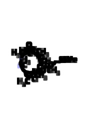 CSSCCCO[C@@H](C)C(=O)O[C@H]1CC(=O)N(C)c2cc(cc(C)c2Cl)C/C(C)=C/C=C/[C@@H](C)[C@@]2(O)C[C@H](OC(=O)N2)[C@@H](C)[C@@H]2O[C@@]12C